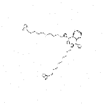 O=C(OCCCCCCCCCC1CO1)c1ccccc1C(=O)OCCCCCCCCCC1CO1